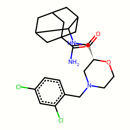 NC(=O)C12CC3CC(C1)C(NC(=O)[C@H]1CN(Cc4ccc(Cl)cc4Cl)CCO1)C(C3)C2